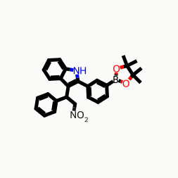 CC1(C)OB(c2cccc(-c3[nH]c4ccccc4c3C(C[N+](=O)[O-])c3ccccc3)c2)OC1(C)C